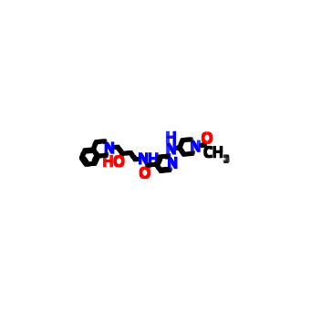 CC(=O)N1CCC(Nc2cc(C(=O)NCCC(O)CN3CCc4ccccc4C3)ccn2)CC1